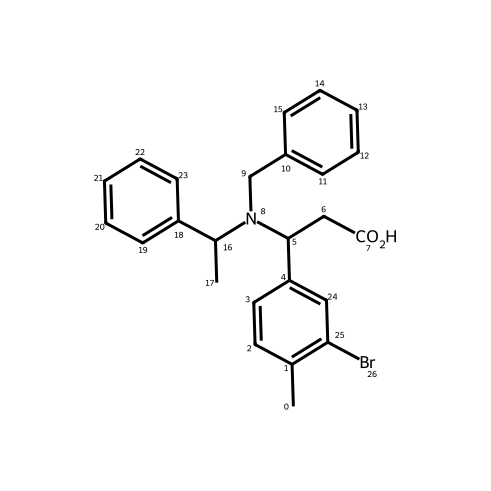 Cc1ccc(C(CC(=O)O)N(Cc2ccccc2)C(C)c2ccccc2)cc1Br